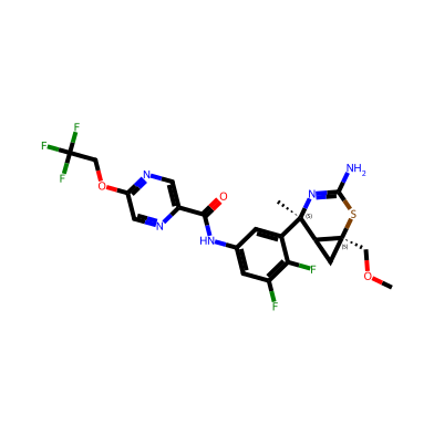 COC[C@]12CC1[C@@](C)(c1cc(NC(=O)c3cnc(OCC(F)(F)F)cn3)cc(F)c1F)N=C(N)S2